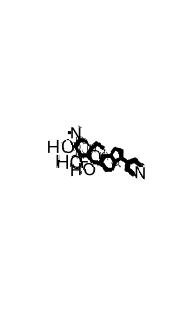 CN(C)[C@H]1C[C@@]23CC[C@@]4(O2)C(=CC[C@]2(C)C(c5ccncc5)=CCC24)C(O)C3(F)[C@@H](O)[C@@H]1O